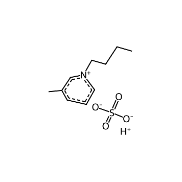 CCCC[n+]1cccc(C)c1.O=S(=O)([O-])[O-].[H+]